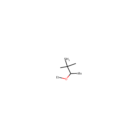 CCCCC(OCC)C(C)(C)[SiH3]